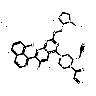 C=CC(=O)N1CCN(c2nc(OC[C@@H]3CCCN3C)nc3nc(-c4cccc5cccc(Cl)c45)c(Cl)cc23)C[C@@H]1CC#N